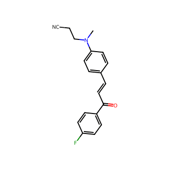 CN(CCC#N)c1ccc(/C=C/C(=O)c2ccc(F)cc2)cc1